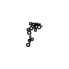 COC(=O)c1cc2oc3ccc(/C=C/C(=O)OCc4ccccc4)cc3c2cc1N(C(=O)C1CCC(C)CC1)C(C)C